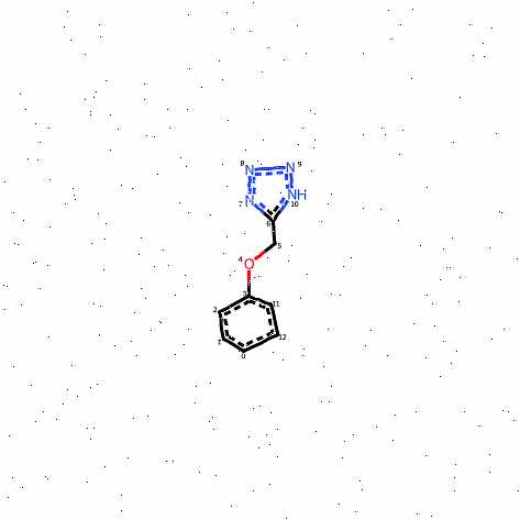 [c]1ccc(OCc2nnn[nH]2)cc1